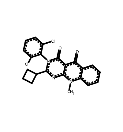 Cn1c2ccccc2c(=O)c2c(=O)n(-c3c(Cl)cccc3Cl)c(C3CCC3)nc21